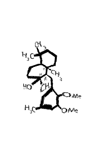 COc1cc(C)cc(C[C@@H]2[C@@]3(C)CCCC(C)(C)C3CC[C@@]2(C)O)c1OC